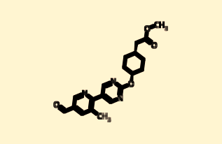 COC(=O)C[C@H]1CC[C@@H](Oc2ncc(-c3ncc(C=O)cc3C)cn2)CC1